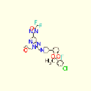 CC1(c2ccc(Cl)cc2F)Oc2cccc(C3CCN(Cc4nc5cc(-c6noc(C(F)F)n6)cnc5n4C[C@@H]4CCO4)CC3)c2O1